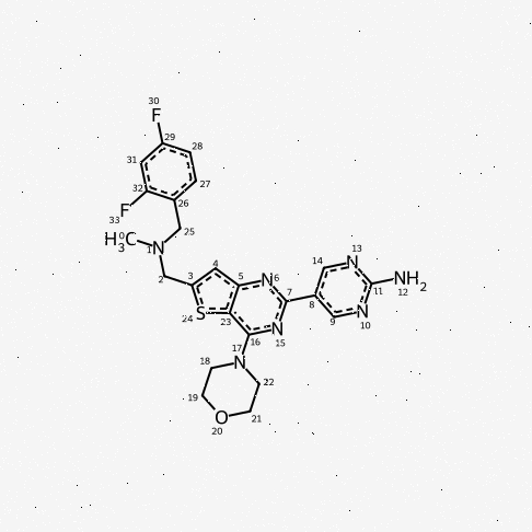 CN(Cc1cc2nc(-c3cnc(N)nc3)nc(N3CCOCC3)c2s1)Cc1ccc(F)cc1F